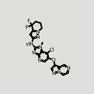 Cn1c(Nc2cc3n(n2)CCCC3(F)F)nc2ncc(Oc3cnn4ccncc34)c(Cl)c21